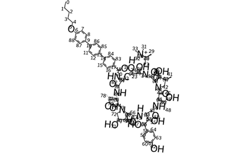 CCCCCOc1ccc(-c2ccc(-c3ccc(C(=O)N[C@H]4C[C@@H](O)[C@@H](OC[C@H](C)[N+](C)(C)C)NC(=O)[C@@H]5[C@@H](O)[C@@H](C)CN5C(=O)[C@H]([C@@H](C)O)NC(=O)[C@H]([C@H](O)[C@@H](O)c5ccc(O)cc5)NC(=O)[C@@H]5C[C@@H](O)CN5C(=O)[C@H]([C@@H](C)O)NC4=O)cc3)cc2)cc1